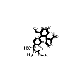 C[C@H](c1ccc(-c2c(CO)cc(Br)c3[nH]c(=O)c4sccc4c23)cc1)N(C)C(=O)OC(C)(C)C